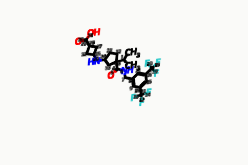 CC(C)[C@]1(C(=O)NCc2cc(C(F)(F)F)cc(C(F)(F)F)c2)CCC(NC2CC(C(=O)O)C2)C1